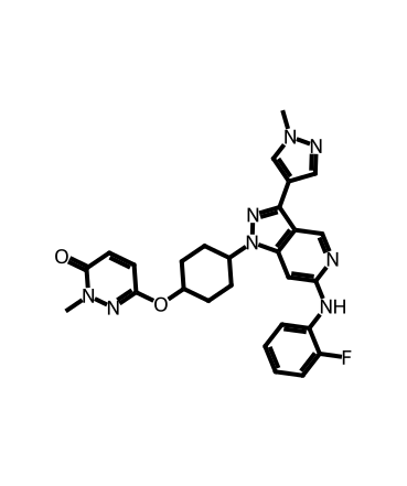 Cn1cc(-c2nn(C3CCC(Oc4ccc(=O)n(C)n4)CC3)c3cc(Nc4ccccc4F)ncc23)cn1